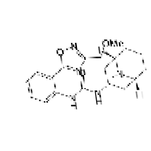 COCc1noc(-c2ccccc2NC(=O)N[C@H]2C[C@H]3CCC[C@@H](C2)N3C)n1